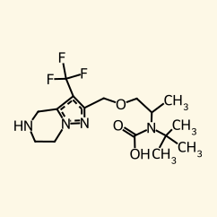 CC(COCc1nn2c(c1C(F)(F)F)CNCC2)N(C(=O)O)C(C)(C)C